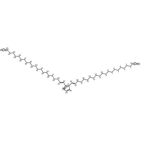 CCCCCCCCCCCCCCCCCCCCCCCCCCCCC=CC1=C(C=CCCCCCCCCCCCCCCCCCCCCCCCCCCCC)[N]C=C1